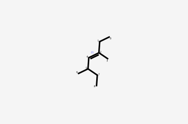 CC/C(C)=C/C(C)CC